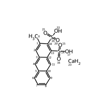 Cc1cc2cc3ccccc3cc2c(S(=O)(=O)O)c1S(=O)(=O)O.[CaH2]